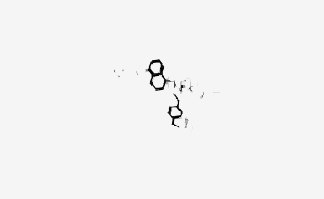 COc1cccc2c1CCC[C@H]2CN(C)CCc1ccc2c(c1)S(=O)(=O)CC2.CS(=O)(=O)O